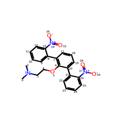 CN(C)CCOc1c(-c2ccccc2[N+](=O)[O-])cccc1-c1ccccc1[N+](=O)[O-]